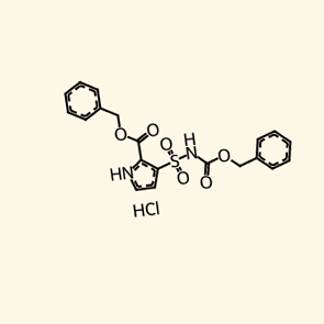 Cl.O=C(NS(=O)(=O)c1cc[nH]c1C(=O)OCc1ccccc1)OCc1ccccc1